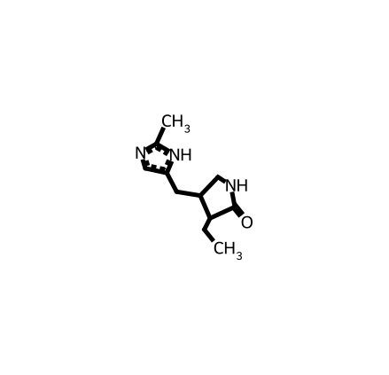 CCC1C(=O)NCC1Cc1cnc(C)[nH]1